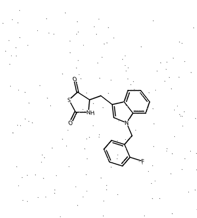 O=C1NC(Cc2cn(Cc3ccccc3F)c3ccccc23)C(=O)S1